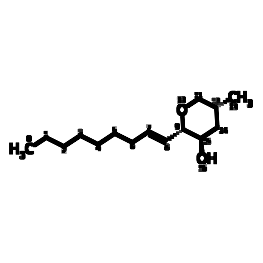 CCCCCCC/C=C/[C@@H]1OC[C@H](C)C[C@H]1O